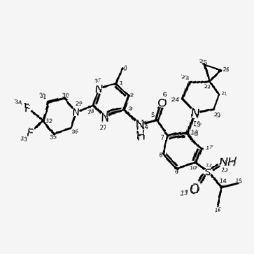 Cc1cc(NC(=O)c2ccc(S(=N)(=O)C(C)C)cc2N2CCC3(CC2)CC3)nc(N2CCC(F)(F)CC2)n1